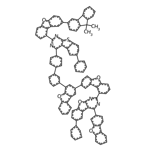 CC1(C)c2ccccc2-c2cc(-c3ccc4oc5cccc(-c6nc(-c7ccc(-c8cccc(-c9cc(-c%10ccc%11oc%12cccc(-c%13nc(-c%14ccc%15c(c%14)oc%14ccccc%14%15)c%14c(n%13)oc%13ccc(-c%15ccccc%15)cc%13%14)c%12c%11c%10)cc%10c9oc9ccccc9%10)c8)cc7)c7c(n6)sc6ccc(-c8ccccc8)cc67)c5c4c3)ccc21